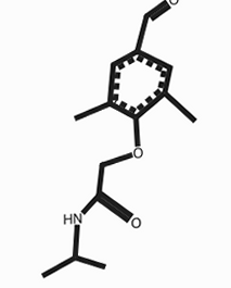 Cc1cc(C=O)cc(C)c1OCC(=O)NC(C)C